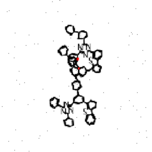 c1ccc(-c2ccc(-c3cccc(-c4cccc5c4sc4c(-c6nc(-c7cccc(-c8ccccc8)c7)nc(-c7cccc(-c8ccc(-c9ccc(-c%10cc(-c%11nc(-c%12ccccc%12)nc(-c%12ccccc%12)n%11)cc(-c%11cccc%12c%11sc%11ccccc%11%12)c%10)cc9)cc8)c7)n6)cccc45)c3)cc2)cc1